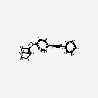 C(#Cc1ccc(OC2CN3CCC2CC3)nn1)c1ccccc1